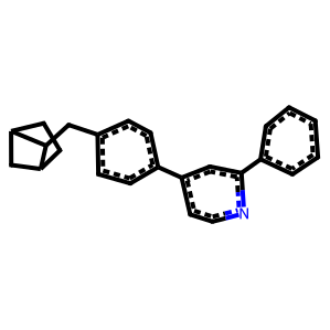 c1ccc(-c2cc(-c3ccc(CC4C5CCC4C5)cc3)ccn2)cc1